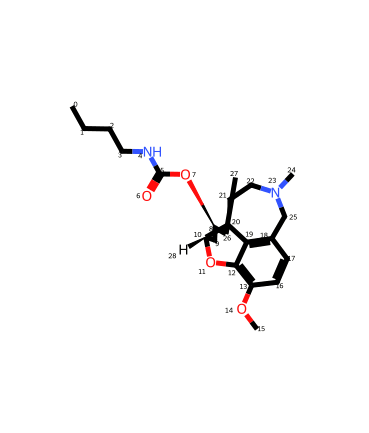 CCCCNC(=O)O[C@@H]1C[C@@H]2Oc3c(OC)ccc4c3[C@]2(CCN(C)C4)C1C